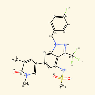 Cc1cc(-c2cc(NS(C)(=O)=O)c3c(C(F)(F)F)nn(Cc4ccc(F)cc4)c3c2)cn(C)c1=O